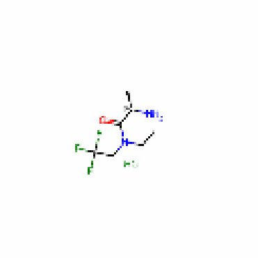 CCN(CC(F)(F)F)C(=O)[C@@H](C)N.Cl